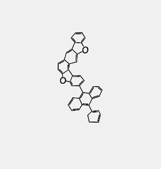 C1=CCCC(c2c3ccccc3c(-c3ccc4c(c3)oc3ccc5cc6c(cc5c34)oc3ccccc36)c3ccccc23)=C1